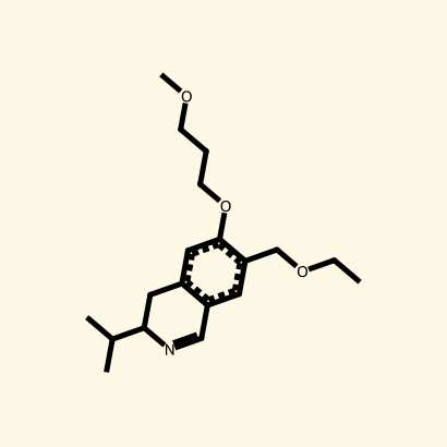 CCOCc1cc2c(cc1OCCCOC)CC(C(C)C)N=C2